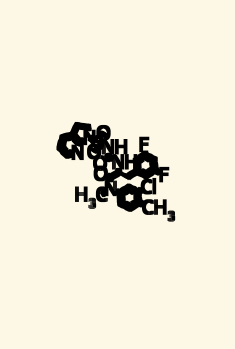 Cc1ccc(N(C)C(=O)[C@H](Cc2cc(F)cc(F)c2)NC(=O)NS(=O)(=O)N2CCc3cccnc32)cc1Cl